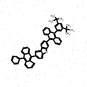 CC(C)(C)c1cc(-c2c3ccccc3c(-c3ccc4c(c3)oc3ccc(-c5c6ccccc6c(-c6ccccc6)c6ccccc56)cc34)c3ccccc23)cc(C(C)(C)C)c1